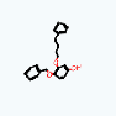 Oc1ccc(OCc2ccccc2)c(OCCCCc2ccccc2)c1